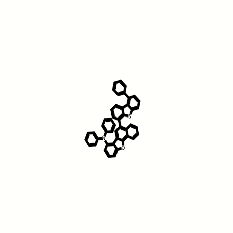 c1ccc(-c2cccc3sc4c(-c5cc6c(oc7cccc(N(c8ccccc8)c8ccccc8)c76)c6ccccc56)cccc4c23)cc1